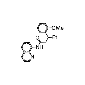 CCC(CC(=O)Nc1cccc2cccnc12)c1ccccc1OC